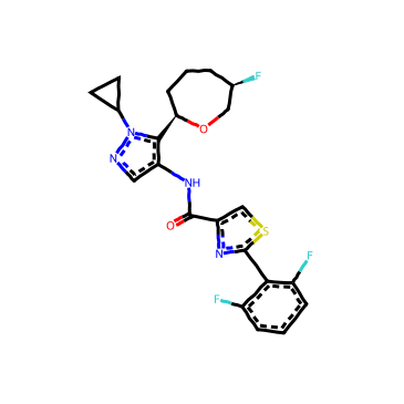 O=C(Nc1cnn(C2CC2)c1[C@H]1CCC[C@@H](F)CO1)c1csc(-c2c(F)cccc2F)n1